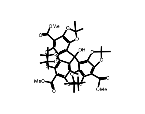 COC(=O)c1c2c(c(C(O)(c3c4c(c(C(=O)OC)c5c3OC(C)(C)O5)OC(C)(C)O4)c3c4c(c(C(=O)OC)c5c3SC(C)(C)S5)SC(C)(C)S4)c3c1OC(C)(C)O3)OC(C)(C)O2